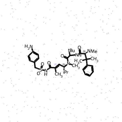 CN[C@H](C(=O)NC(C(=O)N(C)[C@H](/C=C(\C)C(=O)NS(=O)(=O)Cc1ccc(N)cc1)C(C)C)C(C)(C)C)C(C)(C)c1ccccc1